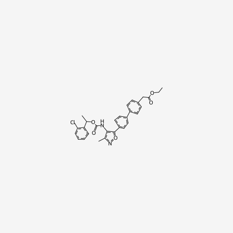 CCOC(=O)Cc1ccc(-c2ccc(-c3onc(C)c3NC(=O)OC(C)c3ccccc3Cl)cc2)cc1